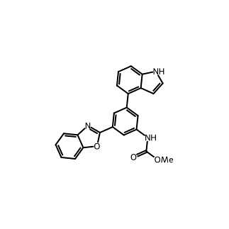 COC(=O)Nc1cc(-c2nc3ccccc3o2)cc(-c2cccc3[nH]ccc23)c1